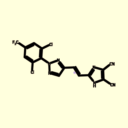 N#Cc1nc(/C=C/c2cnn(-c3c(Cl)cc(C(F)(F)F)cc3Cl)n2)[nH]c1C#N